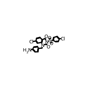 Nc1ccc(Cn2c(=O)n(S(=O)(=O)c3ccc(Cl)cc3)c(=O)c3ccc(Cl)cc32)cc1